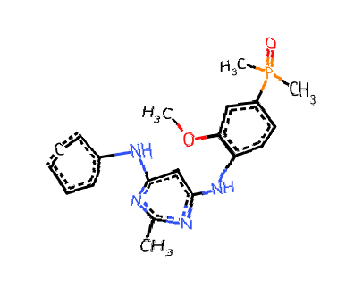 COc1cc(P(C)(C)=O)ccc1Nc1cc(Nc2ccccc2)nc(C)n1